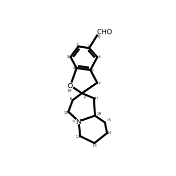 O=Cc1ccc2c(c1)CC1(CCN3CCCCC3C1)O2